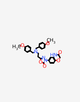 COc1ccc(CN(CCc2nn(-c3ccc4c(c3)NC(=O)CO4)c(=O)o2)Cc2ccc(OC)cc2)cc1